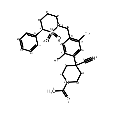 CC(=O)N1CCC(C#N)(c2cc(F)c(CN3CCC[C@H](c4ccccc4)S3(=O)=O)cc2F)CC1